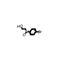 [O-][S+](CCO)c1ccc(Br)cc1